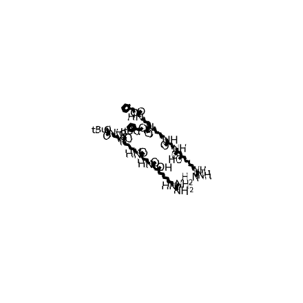 CC(C)(C)OC(=O)NCCCN(CCCCNC(=O)CCNC(=O)CC(O)CCCCCCNC(=N)N)C(=O)OC(C)(C)C.N=C(N)NCCCCCCC(O)CC(=O)NCCC(=O)NCCCCN(CCCNC(=O)OCc1ccccc1)C(=O)OCc1ccccc1